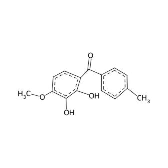 COc1ccc(C(=O)c2ccc(C)cc2)c(O)c1O